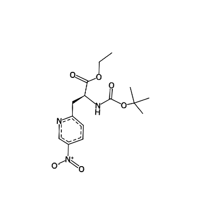 CCOC(=O)[C@H](Cc1ccc([N+](=O)[O-])cn1)NC(=O)OC(C)(C)C